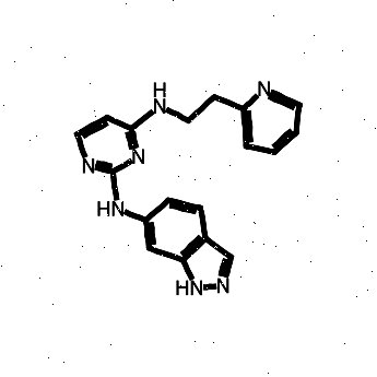 c1ccc(CCNc2ccnc(Nc3ccc4cn[nH]c4c3)n2)nc1